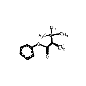 CC(C(=O)Oc1ccccc1)[Si](C)(C)C